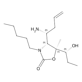 C=CC[C@@H](N)[C@H]1N(CCCCC)C(=O)O[C@]1(C)[C@H](O)CC